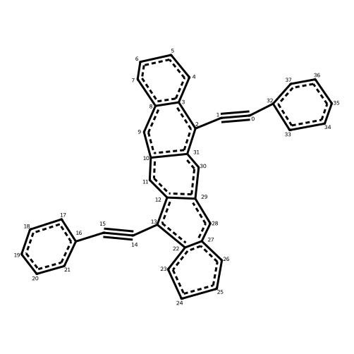 C(#Cc1c2ccccc2cc2cc3c(C#Cc4ccccc4)c4ccccc4cc3cc12)c1ccccc1